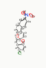 CC1=Cc2cc(Cl)ccc2OC12C=Cc1c(ccc3cc([N+](=O)[O-])ccc13)O2